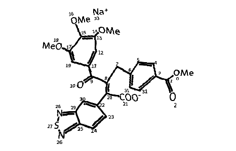 COC(=O)c1ccc(CC(C(=O)c2cc(OC)c(OC)c(OC)c2)=C(C(=O)[O-])c2ccc3nsnc3c2)cc1.[Na+]